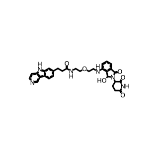 O=C(CCc1ccc2c(c1)[nH]c1ccncc12)NCCOCCNc1cccc2c1C(O)N(C1CCC(=O)NC1=O)C2=O